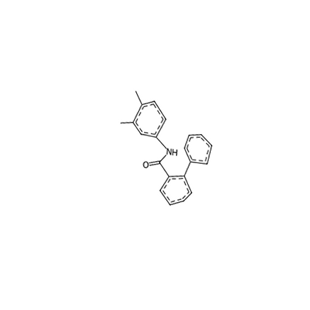 Cc1ccc(NC(=O)c2ccccc2-c2ccccc2)cc1C